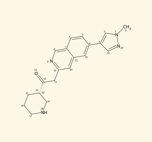 Cn1cc(-c2ccc3cnc(CC(=O)[C@H]4CCCNC4)cc3c2)cn1